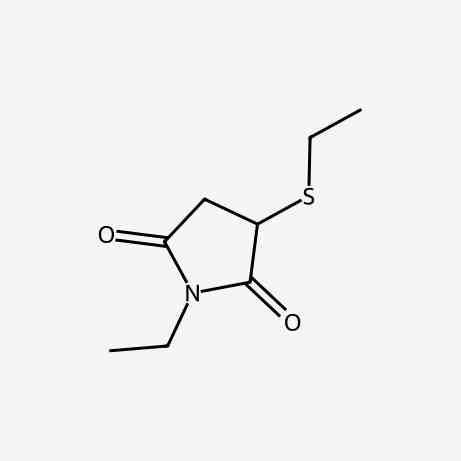 CCSC1CC(=O)N(CC)C1=O